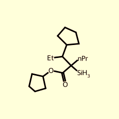 CCCC([SiH3])(C(=O)OC1CCCC1)C(CC)C1CCCC1